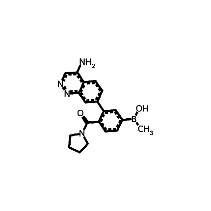 CB(O)c1ccc(C(=O)N2CCCC2)c(-c2ccc3c(N)cnnc3c2)c1